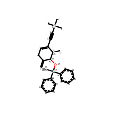 C=C1CC=C(C#C[Si](C)(C)C)[C@@H](C)[C@H]1O[Si](c1ccccc1)(c1ccccc1)C(C)(C)C